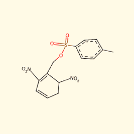 Cc1ccc(S(=O)(=O)OCC2=C([N+](=O)[O-])C=CCC2[N+](=O)[O-])cc1